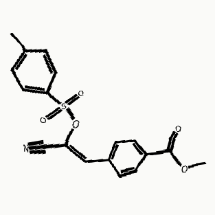 COC(=O)c1ccc(C=C(C#N)OS(=O)(=O)c2ccc(C)cc2)cc1